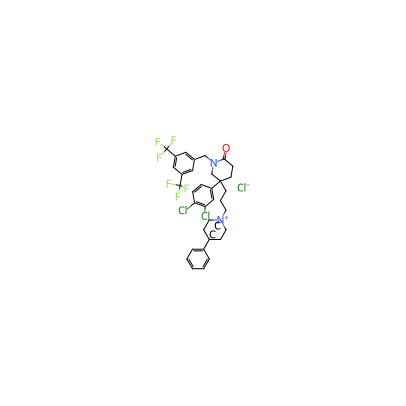 O=C1CCC(CCC[N+]23CCC(c4ccccc4)(CC2)CC3)(c2ccc(Cl)c(Cl)c2)CN1Cc1cc(C(F)(F)F)cc(C(F)(F)F)c1.[Cl-]